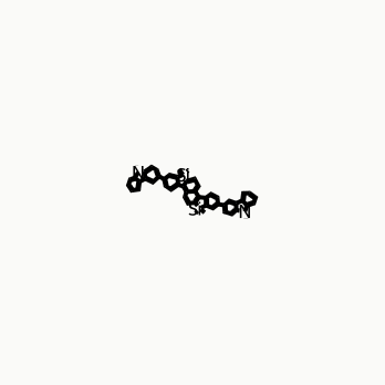 Cn1c2ccccc2c2cc(-c3ccc4c(c3)[Si](C)(C)c3ccc5c6c(ccc5c3-4)[Si](C)(C)c3cc(-c4ccc5c(c4)c4ccccc4n5C)ccc3-6)ccc21